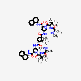 CN[C@@H](C)C(=O)N[C@H](C(=O)N1C[C@@H](NC(=O)[C@@H]2CC[C@](C)(C(=O)N[C@H]3C[C@@H](C(=O)N[C@@H]4CCCc5ccccc54)N(C(=O)[C@@H](NC(=O)[C@H](C)NC)C(C)(C)C)C3)C2(C)C)C[C@H]1C(=O)N[C@@H]1CCCc2ccccc21)C(C)(C)C